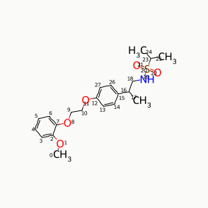 COc1ccccc1OCCOc1ccc(C(C)CNS(=O)(=O)C(C)C)cc1